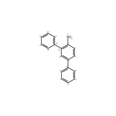 O=[N+]([O-])c1ccc(-c2ccccc2)cc1-c1ccccc1